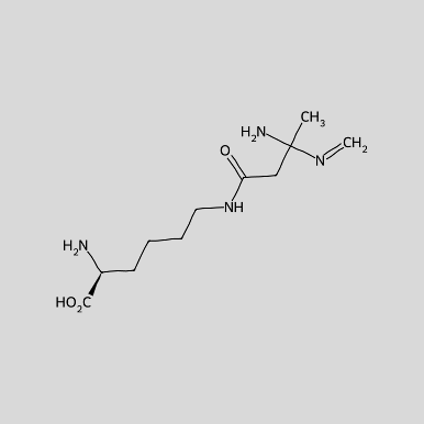 C=NC(C)(N)CC(=O)NCCCC[C@H](N)C(=O)O